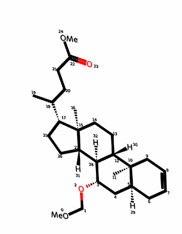 COCO[C@H]1C[C@@H]2CC=CC[C@]2(C)[C@H]2CC[C@]3(C)[C@@H](C(C)CCC(=O)OC)CC[C@H]3[C@H]12